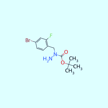 CC(C)(C)OC(=O)N(N)Cc1ccc(Br)cc1F